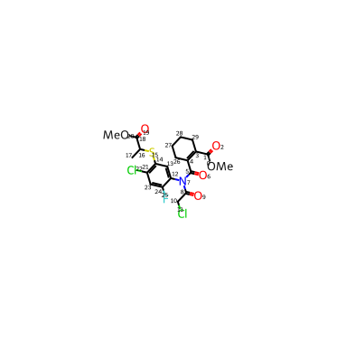 COC(=O)C1=C(C(=O)N(C(=O)CCl)c2cc(SC(C)C(=O)OC)c(Cl)cc2F)CCCC1